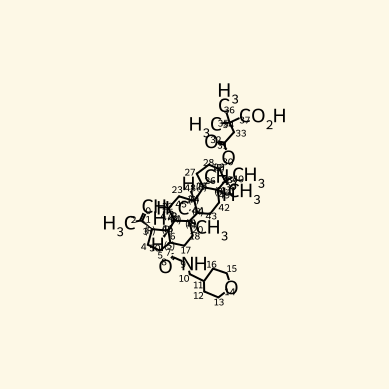 C=C(C)[C@@H]1CC[C@]2(C(=O)NCC3CCOCC3)CC[C@]3(C)[C@H](CC[C@@H]4[C@@]5(C)CC[C@H](OC(=O)CC(C)(C)C(=O)O)C(C)(C)[C@@H]5CC[C@]43C)[C@@H]12